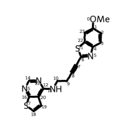 COc1ccc2nc(C#CCCNc3ncnc4sccc34)sc2c1